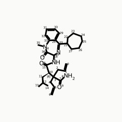 C=CCC(CC=C)(C(N)=O)[C@@H](CC(C)C)C(=O)NC1N=C(C2CCCCCC2)c2ccccc2N(C)C1=O